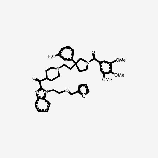 COc1cc(C(=O)N2CCC(CCN3CCC(C(=O)c4nc5ccccc5n4CCOCc4ccco4)CC3)(c3cccc(C(F)(F)F)c3)C2)cc(OC)c1OC